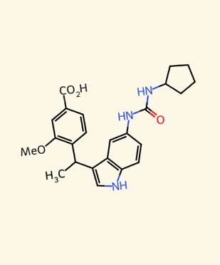 COc1cc(C(=O)O)ccc1C(C)c1c[nH]c2ccc(NC(=O)NC3CCCC3)cc12